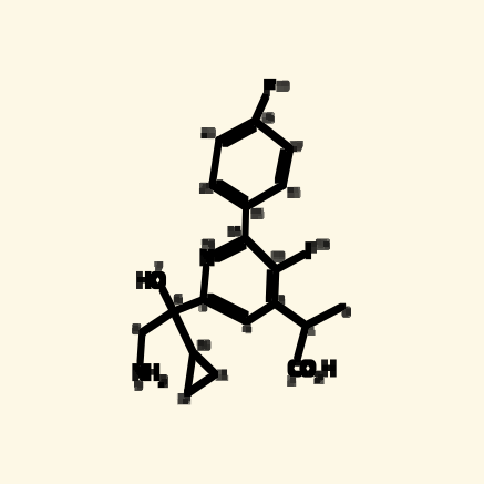 CC(C(=O)O)c1cc(C(O)(CN)C2CC2)nc(-c2ccc(F)cc2)c1F